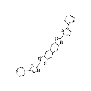 c1ccc(-c2cnc(-c3nc4cc5cc6oc(-c7ncc(-c8ccccc8)s7)nc6cc5cc4o3)s2)cc1